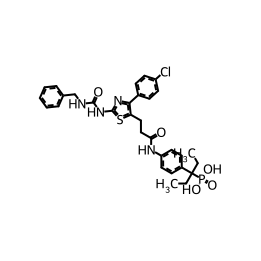 CCC(CC)(c1ccc(NC(=O)CCc2sc(NC(=O)NCc3ccccc3)nc2-c2ccc(Cl)cc2)cc1)P(=O)(O)O